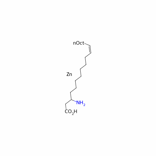 CCCCCCCC/C=C\CCCCCCCC(N)CC(=O)O.[Zn]